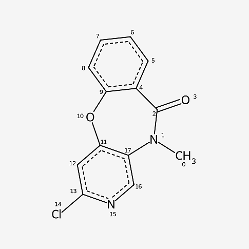 CN1C(=O)c2ccccc2Oc2cc(Cl)ncc21